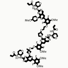 C=CC(=O)N[C@H]1CCOC[C@H]1Nc1ncc2cc(-c3c(F)c(OC)cc(OC)c3F)nc(N3CC(C)(OCOc4cc(OC)c(F)c(-c5cc6cnc(N[C@@H]7COCC[C@@H]7NC(=O)C=C)nc6c(N6CCC(OCCOc7cc(OC)c(F)c(-c8cc9cnc(N[C@@H]%10COCC[C@@H]%10NC(=O)C=C)nc9c(N9CCC(OC)CC9)n8)c7F)C6)n5)c4F)C3)c2n1